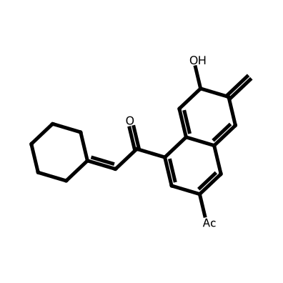 C=C1C=c2cc(C(C)=O)cc(C(=O)C=C3CCCCC3)c2=CC1O